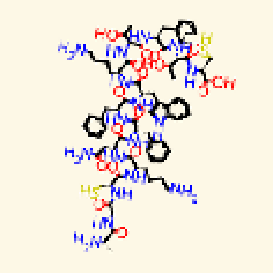 CC(O)[C@H](NC(=O)[C@H](Cc1ccccc1)NC(=O)[C@@H](NC(=O)[C@H](CCCCN)NC(=O)[C@H](Cc1c[nH]c2ccccc12)NC(=O)[C@H](Cc1ccccc1)NC(=O)[C@H](Cc1ccccc1)NC(=O)[C@H](CC(N)=O)NC(=O)[C@H](CCCCN)NC(=O)[C@H](CS)NC(=O)CNC(=O)[C@H](C)N)C(C)O)C(=O)N[C@@H](CS)C(=O)O